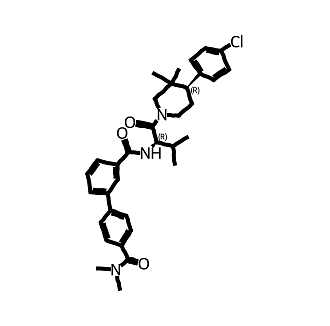 CC(C)[C@@H](NC(=O)c1cccc(-c2ccc(C(=O)N(C)C)cc2)c1)C(=O)N1CC[C@H](c2ccc(Cl)cc2)C(C)(C)C1